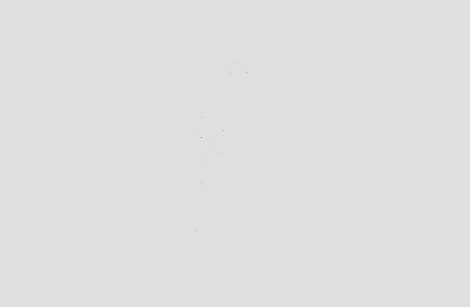 Cc1nnc(-c2ccc3cnc(NC(=O)c4coc(C5CCNCC5)n4)nc3c2)s1